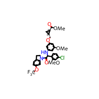 COC(=O)[C@@H]1C[C@H]1COc1cc(NC(C(=O)N2CCc3ccc(OC(F)(F)F)cc32)c2ccc(Cl)cc2OC)cc(OC)c1